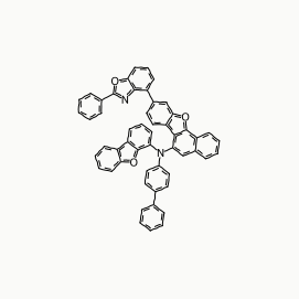 c1ccc(-c2ccc(N(c3cccc4c3oc3ccccc34)c3cc4ccccc4c4oc5cc(-c6cccc7oc(-c8ccccc8)nc67)ccc5c34)cc2)cc1